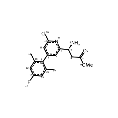 COC(=O)C[C@H](N)c1cc(-c2c(C)cc(F)cc2C)cc(Cl)n1